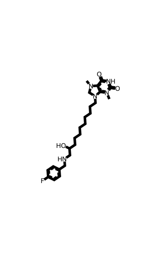 CN1CN(CCCCCCCCCC(O)CNCc2ccc(F)cc2)c2c1c(=O)[nH]c(=O)n2C